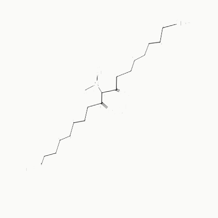 CCCCCCCCCCCCCCCCCC(=O)C(C(=O)CCCCCCCCCCCCCCCCC)N(C)CC.Cl